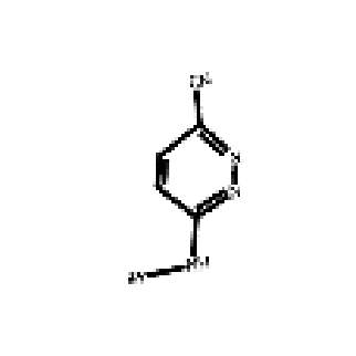 CC(C)Nc1ccc(C#N)nn1